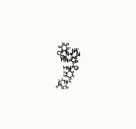 CN1CCN(Cc2ccc(NC(=O)c3sc4ncnc5c4c3NC(=O)N5c3ccccc3Cl)cc2)CC1